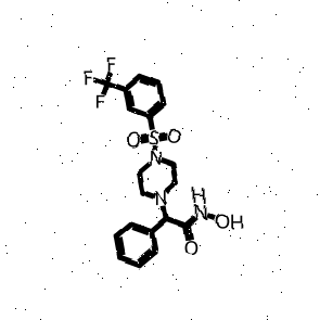 O=C(NO)C(c1ccccc1)N1CCN(S(=O)(=O)c2cccc(C(F)(F)F)c2)CC1